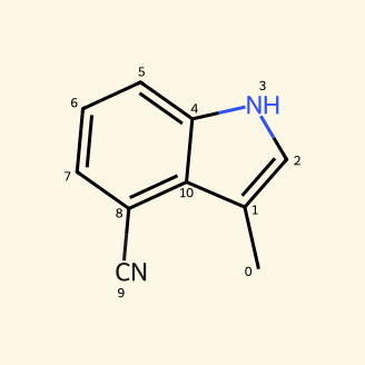 Cc1c[nH]c2cccc(C#N)c12